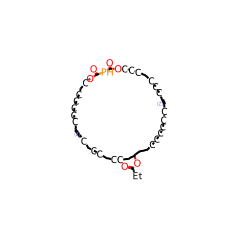 CCC(=O)OC1CCCCCCCC/C=C\CCCCCCCOC(=O)PC(=O)OCCCCCCC/C=C\CCCCCCCC1